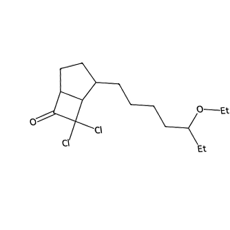 CCOC(CC)CCCCC1CCC2C(=O)C(Cl)(Cl)C12